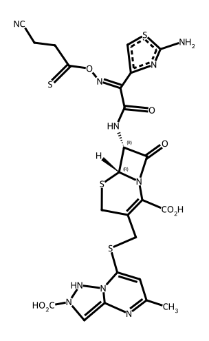 CC1=NC2=CN(C(=O)O)NN2C(SCC2=C(C(=O)O)N3C(=O)[C@@H](NC(=O)C(=NOC(=S)CCC#N)c4csc(N)n4)[C@H]3SC2)=C1